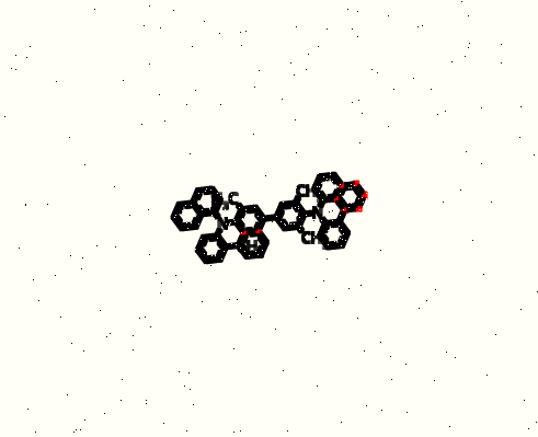 Cc1cc(-c2cc(C)c(N(c3ccccc3-c3ccccc3)c3cccc4ccccc34)c(C)c2)cc(C)c1N(c1ccccc1-c1ccccc1)c1cccc2ccccc12